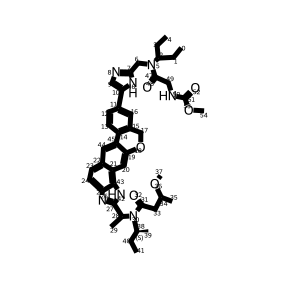 CCC(CC)N(Cc1ncc(-c2ccc3c(c2)COc2cc4c(ccc5nc(C(C)N(C(=O)CC(C)OC)[C@@H](C)CC)[nH]c54)cc2-3)[nH]1)C(=O)CNC(=O)OC